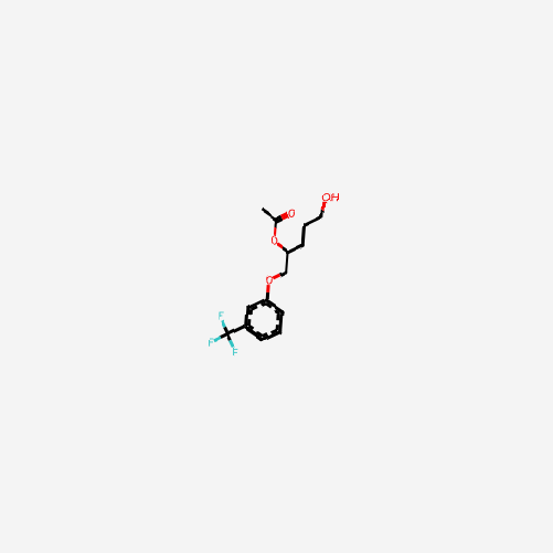 CC(=O)OC(CCCO)COc1cccc(C(F)(F)F)c1